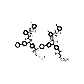 CCc1cccc(NS(=O)(=O)c2ccccc2NC(=O)NC(c2ccc(C(=O)NCCC(=O)O)cc2)c2ccc(C3=CCCCC3)cc2)c1.Cc1cccc(NS(=O)(=O)c2cc(C)ccc2NC(=O)NC(c2ccc(C(=O)NCCC(=O)O)cc2)c2ccc(C3CCCCC3)cc2)c1